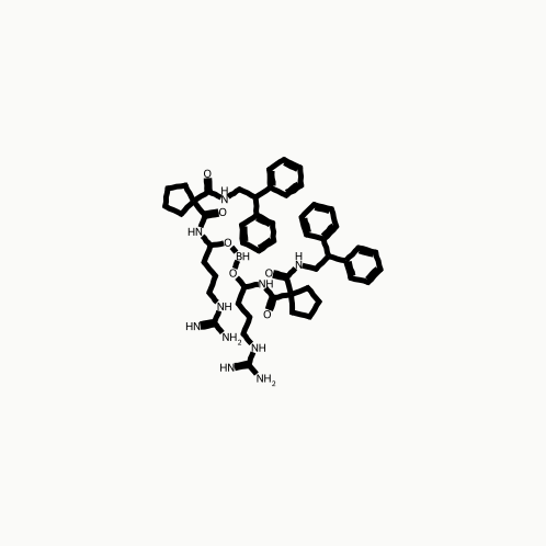 N=C(N)NCCCC(NC(=O)C1(C(=O)NCC(c2ccccc2)c2ccccc2)CCCC1)OBOC(CCCNC(=N)N)NC(=O)C1(C(=O)NCC(c2ccccc2)c2ccccc2)CCCC1